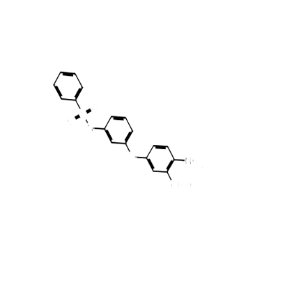 O=Cc1cc(Oc2cccc(NS(=O)(=O)c3ccccc3)c2)ccc1[N+](=O)[O-]